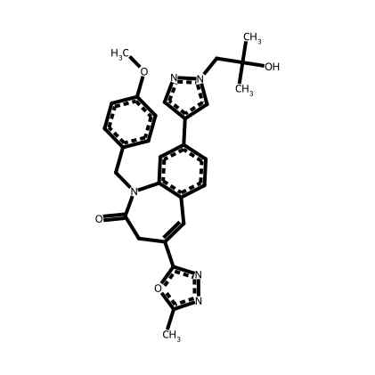 COc1ccc(CN2C(=O)CC(c3nnc(C)o3)=Cc3ccc(-c4cnn(CC(C)(C)O)c4)cc32)cc1